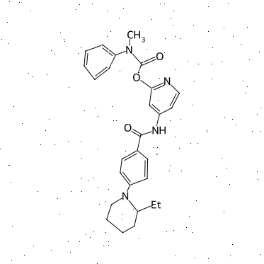 CCC1CCCCN1c1ccc(C(=O)Nc2ccnc(OC(=O)N(C)c3ccccc3)c2)cc1